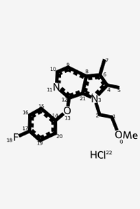 COCCn1c(C)c(C)c2ccnc(Oc3ccc(F)cc3)c21.Cl